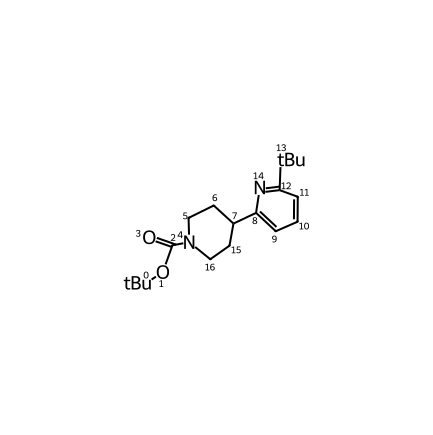 CC(C)(C)OC(=O)N1CCC(c2cccc(C(C)(C)C)n2)CC1